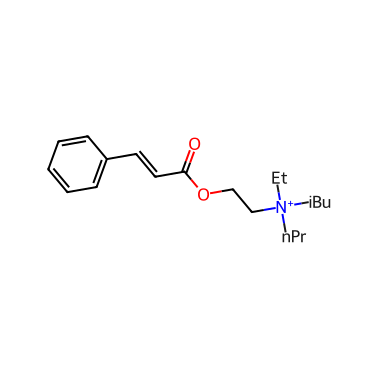 CCC[N+](CC)(CCOC(=O)/C=C/c1ccccc1)C(C)CC